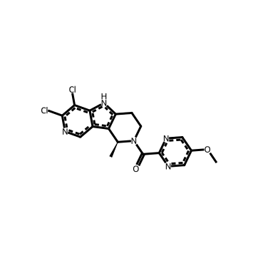 COc1cnc(C(=O)N2CCc3[nH]c4c(Cl)c(Cl)ncc4c3[C@@H]2C)nc1